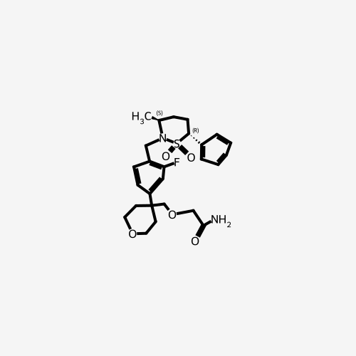 C[C@H]1CC[C@H](c2ccccc2)S(=O)(=O)N1Cc1ccc(C2(COCC(N)=O)CCOCC2)cc1F